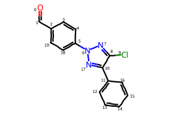 O=Cc1ccc(-n2nc(Cl)c(-c3ccccc3)n2)cc1